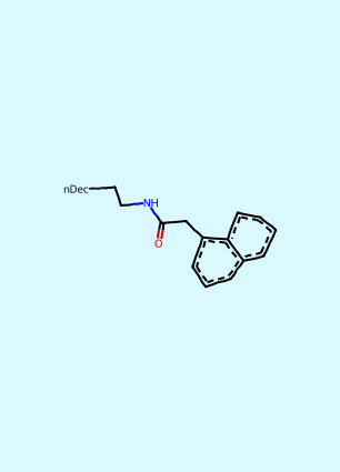 CCCCCCCCCCCCNC(=O)Cc1cccc2ccccc12